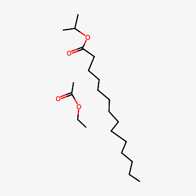 CCCCCCCCCCCCCC(=O)OC(C)C.CCOC(C)=O